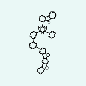 c1ccc(-c2nc(-c3cccc(-c4cccc(-c5ccc6oc7cc8oc9ccccc9c8cc7c6c5)c4)c3)nc(-c3cccc4c3sc3ccccc34)n2)cc1